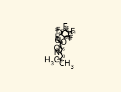 CC(C)Cc1cc(C(=O)Oc2c(F)c(F)c(F)c(F)c2F)on1